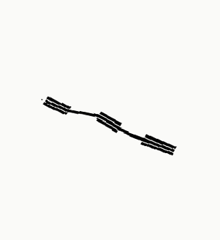 [C]#CC#CC#C